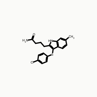 Cc1ccc2c(Sc3ccc(Cl)cc3)c(CCCC(N)=O)[nH]c2c1